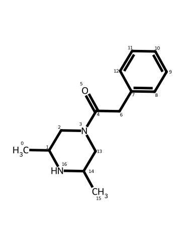 CC1CN(C(=O)Cc2ccccc2)CC(C)N1